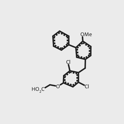 COc1ccc(Cc2c(Cl)cc(OCC(=O)O)cc2Cl)cc1-c1ccccc1